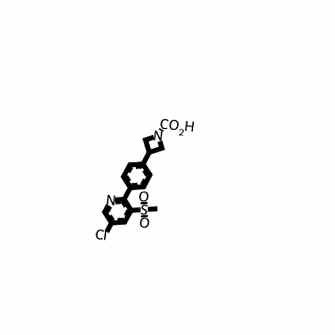 CS(=O)(=O)c1cc(Cl)cnc1-c1ccc(C2CN(C(=O)O)C2)cc1